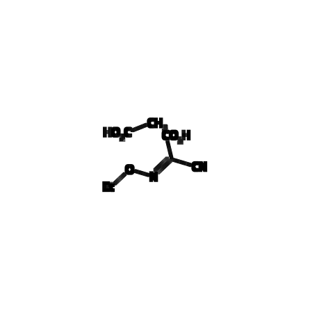 CC(=O)O.CCON=C(C#N)C(=O)O